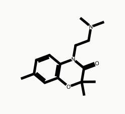 Cc1ccc2c(c1)OC(C)(C)C(=O)N2CCN(C)C